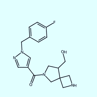 O=C(c1cnn(Cc2ccc(F)cc2)c1)N1CC(CO)C2(CNC2)C1